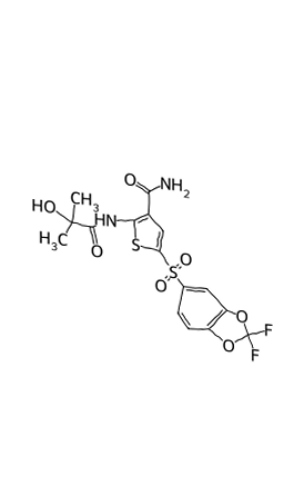 CC(C)(O)C(=O)Nc1sc(S(=O)(=O)c2ccc3c(c2)OC(F)(F)O3)cc1C(N)=O